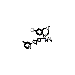 C=N/N=C(/C1CC2(C1)CN(c1cc(C)ccn1)C2)N1CCN(C)Cc2cc(Cl)ccc21